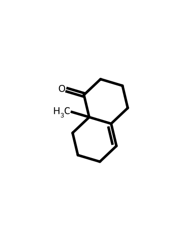 CC12CCCC=C1CCCC2=O